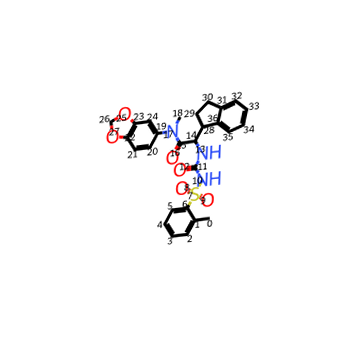 Cc1ccccc1S(=O)(=O)NC(=O)NC(C(=O)N(C)c1ccc2c(c1)OCO2)C1CCc2ccccc21